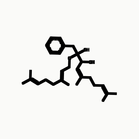 CC(C)=CCC/C(C)=C\C(O)C(O)(Cc1ccccc1)OC/C=C(\C)CCC=C(C)C